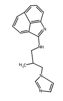 CC(CNC1=Nc2cccc3cccc1c23)Cn1ccnc1